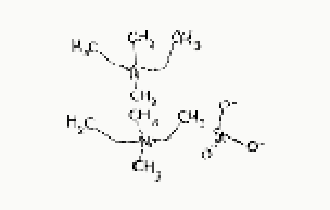 CC[N+](C)(C)CC.CC[N+](C)(C)CC.O=[Si]([O-])[O-]